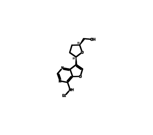 CCNc1ncnc2c([C@H]3CC[C@@H](CO)O3)coc12